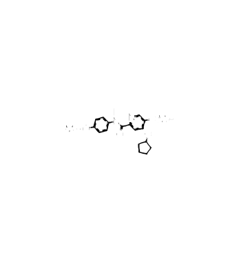 COc1ccc(NC(=O)c2cc(OC3CCCC3)c(OC)cn2)cc1